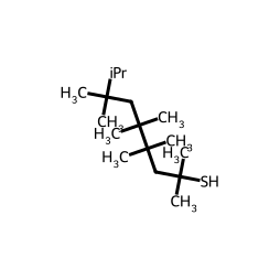 CC(C)C(C)(C)CC(C)(C)C(C)(C)CC(C)(C)S